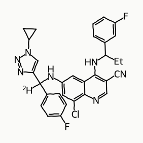 [2H]C(Nc1cc(Cl)c2ncc(C#N)c(NC(CC)c3cccc(F)c3)c2c1)(c1ccc(F)cc1)c1cn(C2CC2)nn1